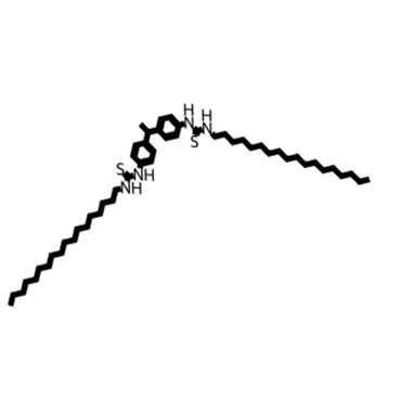 CCCCCCCCCCCCCCCCCCNC(=S)Nc1ccc(C(C)c2ccc(NC(=S)NCCCCCCCCCCCCCCCCCC)cc2)cc1